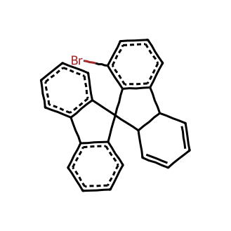 Brc1cccc2c1C1(c3ccccc3-c3ccccc31)C1C=CC=CC21